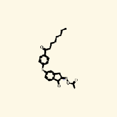 CCCCCCCC(=O)c1ccc(Sc2ccc3c(c2)C/C(=N/OC(C)=O)C3=O)cc1